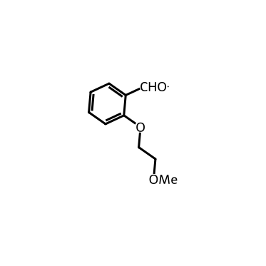 COCCOc1ccccc1[C]=O